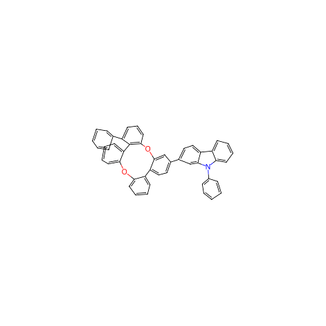 c1ccc(-c2cccc3c2-c2ccccc2Oc2ccccc2-c2ccc(-c4ccc5c6ccccc6n(-c6ccccc6)c5c4)cc2O3)cc1